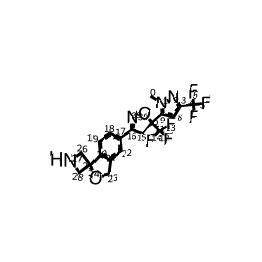 Cn1nc(C(F)(F)F)cc1C1(C(F)(F)F)CC(c2ccc3c(c2)COC32CNC2)=NO1